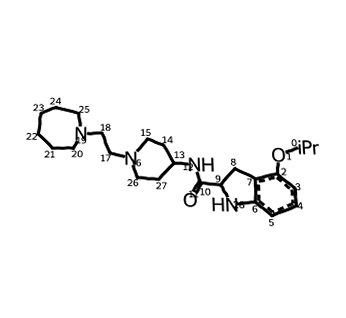 CC(C)Oc1cccc2c1CC(C(=O)NC1CCN(CCN3CCCCCC3)CC1)N2